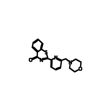 O=c1nc(-c2cccc(CN3CCOCC3)n2)sc2ccccc12